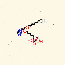 CCCCCCCCOCC(Cn1ccnc1)OCCCCCC.O=C(O)C(=O)O